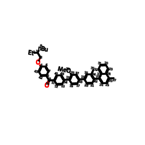 CCCCC(CC)COc1ccc(C(=O)c2ccc(-c3ccc(-c4ccc(-c5ccc(C)c6ccccc56)c(C)c4)cc3OC)cc2)cc1